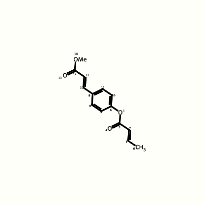 CC=CC(=O)Oc1ccc(/C=C/C(=O)OC)cc1